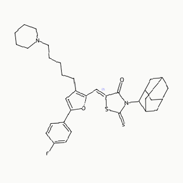 O=C1/C(=C/c2oc(-c3ccc(F)cc3)cc2CCCCCN2CCCCC2)SC(=S)N1C1C2CC3CC(C2)CC1C3